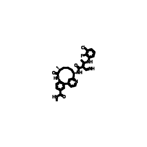 CNC(=O)c1ccc2c(c1)-c1ccnc(c1)[C@@H](NC(=O)/C(C=N)=C(\C)Nc1cccc(Cl)c1F)CCC[C@@H](C)C(=O)N2